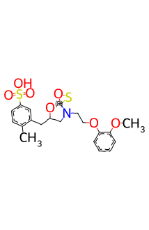 COc1ccccc1OCCN1CC(Cc2cc(S(=O)(=O)O)ccc2C)O[C@@]12OS2